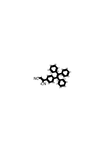 N#C/C=C(\C#N)c1ccc(C(=C(c2ccccc2)c2ccccc2)c2ccccc2)cc1